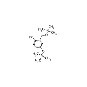 C[Si](C)(C)OCc1cc(O[Si](C)(C)C)ccc1Br